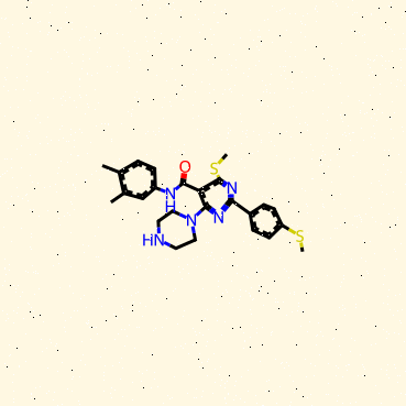 CSc1ccc(-c2nc(SC)c(C(=O)Nc3ccc(C)c(C)c3)c(N3CCNCC3)n2)cc1